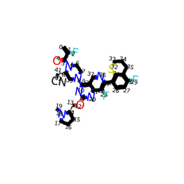 C=C(F)C(=O)N1CCN(c2nc(OC[C@@H]3CCCN3C)nc3c(F)c(-c4ccc(F)c5c4SCCC5)ncc23)C[C@@H]1CC#N